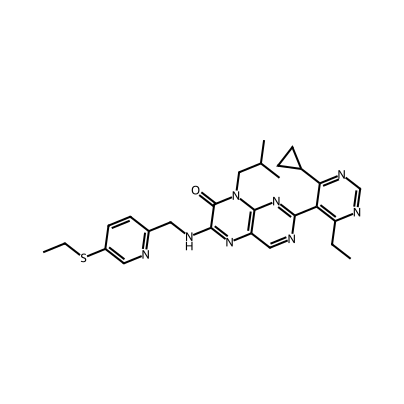 CCSc1ccc(CNc2nc3cnc(-c4c(CC)ncnc4C4CC4)nc3n(CC(C)C)c2=O)nc1